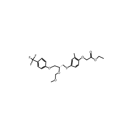 CCOC(=O)COc1ccc(SC[C@@H](COc2ccc(C(F)(F)F)cc2)OCOC)cc1C